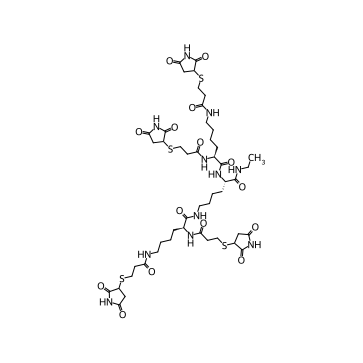 CCNC(=O)[C@H](CCCCNC(=O)[C@H](CCCCNC(=O)CCSC1CC(=O)NC1=O)NC(=O)CCSC1CC(=O)NC1=O)NC(=O)[C@H](CCCCNC(=O)CCSC1CC(=O)NC1=O)NC(=O)CCSC1CC(=O)NC1=O